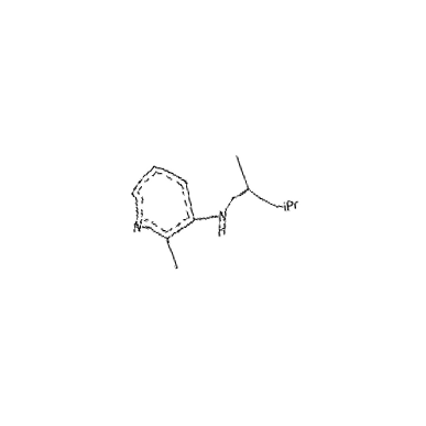 Cc1ncccc1NC(C)C(C)C